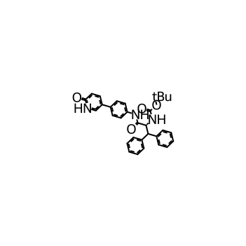 CC(C)(C)OC(=O)N[C@H](C(=O)Nc1ccc(-c2ccc(=O)[nH]c2)cc1)C(c1ccccc1)c1ccccc1